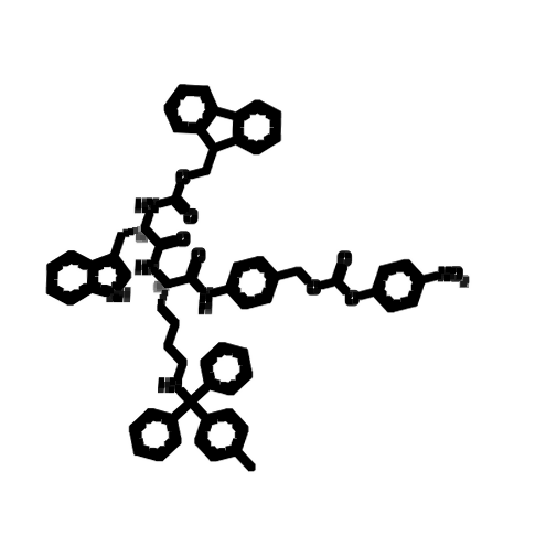 Cc1ccc(C(NCCCC[C@H](NC(=O)[C@H](Cc2c[nH]c3ccccc23)NC(=O)OCC2c3ccccc3-c3ccccc32)C(=O)Nc2ccc(COC(=O)Oc3ccc([N+](=O)[O-])cc3)cc2)(c2ccccc2)c2ccccc2)cc1